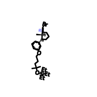 CC[Si](CC)(CC)OC(C)(C)CCCOc1cccc([C@H]2CCC/C(=C\Br)[C@@H]2C)c1